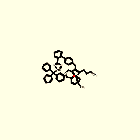 CCCCc1c(Cc2ccc(-c3ccccc3-c3nnn(C(c4ccccc4)(c4ccccc4)c4ccccc4)n3)cc2)c(COCc2ccccc2)nn1CCC